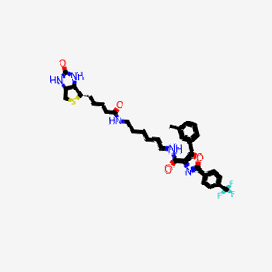 Cc1cccc(-c2oc(-c3ccc(C(F)(F)F)cc3)nc2C(=O)NCCCCCCNC(=O)CCCC[C@@H]2SCC3NC(=O)NC32)c1